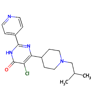 CC(C)CN1CCC(c2nc(-c3ccncc3)[nH]c(=O)c2Cl)CC1